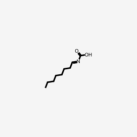 CCCCCCCC=NC(=O)O